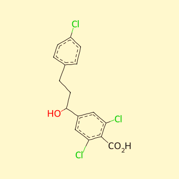 O=C(O)c1c(Cl)cc(C(O)CCc2ccc(Cl)cc2)cc1Cl